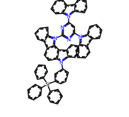 c1ccc([Si](c2ccccc2)(c2ccccc2)c2cccc(-n3c4ccccc4c4c3ccc3c5ccccc5n(-c5nc(-n6c7ccccc7c7ccccc76)cc(-n6c7ccccc7c7ccccc76)n5)c34)c2)cc1